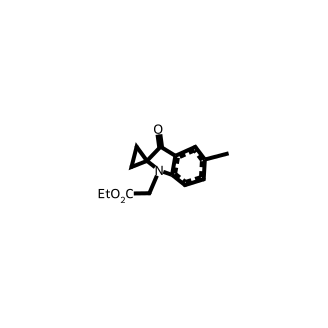 CCOC(=O)CN1c2ccc(C)cc2C(=O)C12CC2